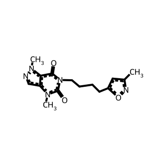 Cc1cc(CCCCn2c(=O)c3c(cnn3C)n(C)c2=O)on1